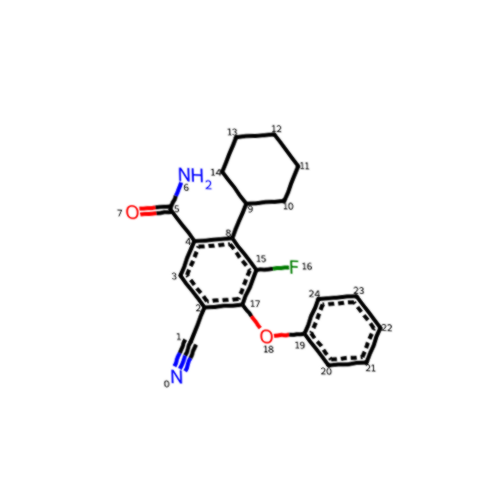 N#Cc1cc(C(N)=O)c(C2CCCCC2)c(F)c1Oc1ccccc1